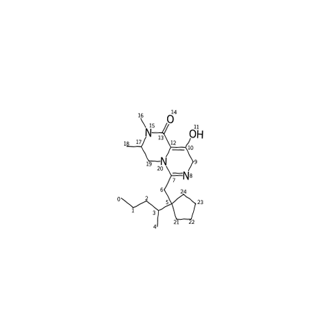 CCCC(C)C1(CC2=NCC(O)=C3C(=O)N(C)C(C)CN23)CCCC1